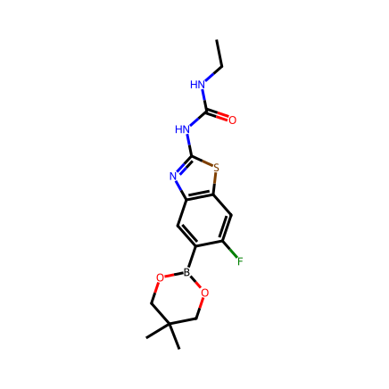 CCNC(=O)Nc1nc2cc(B3OCC(C)(C)CO3)c(F)cc2s1